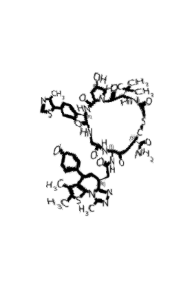 Cc1ncsc1-c1ccc([C@H]2NC(=O)C3C[C@@H](O)CN3C(=O)[C@H](C(C)(C)C)NC(=O)CSC[C@H](C(N)=O)CC(=O)[C@@H](NC(=O)C[C@@H]3C=C(c4ccc(Cl)cc4)c4c(sc(C)c4C)-n4c(C)nnc43)NC(=O)CNC2=O)cc1